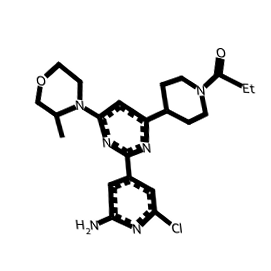 CCC(=O)N1CCC(c2cc(N3CCOCC3C)nc(-c3cc(N)nc(Cl)c3)n2)CC1